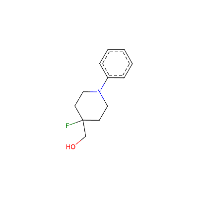 OCC1(F)CCN(c2ccccc2)CC1